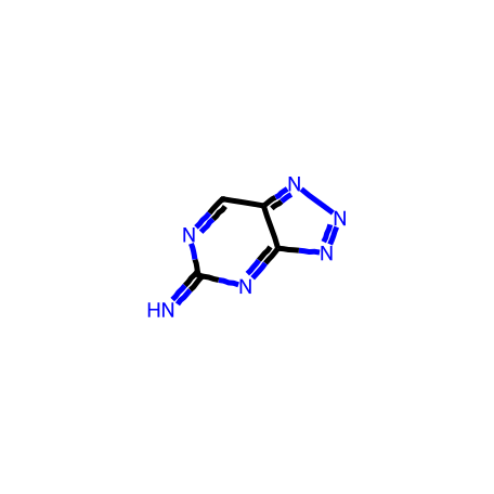 N=C1N=CC2=NN=NC2=N1